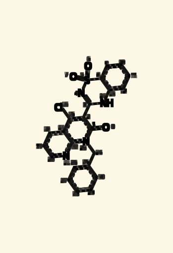 O=c1c(C2=NS(=O)(=O)c3ccccc3N2)c(Cl)c2cccnc2n1Cc1ccccc1